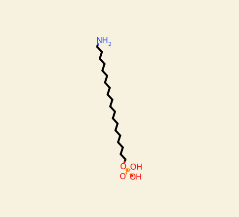 NCCCCCCCCCCCCCCCCCCCCOP(=O)(O)O